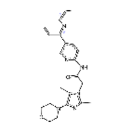 C=C/C(=N\C=C/C)c1ccc(NC(=O)Cn2c(C)nc(N3CCOCC3)c2C)nc1